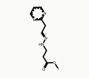 O=C(CCN/N=C/Cc1ncccn1)OI